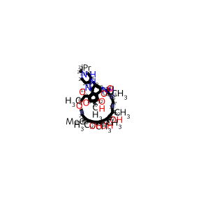 CO[C@H]1/C=C/OC2(C)Oc3c(C)c(O)c4c(c3C2=O)C2=NC3(CCN(CC(C)C)CC3)NC2=C(NC(=O)/C(C)=C\C=C\[C@H](C)[C@H](O)[C@@H](C)[C@@H](O)[C@@H](C)[C@H](O)[C@@H]1C)C4=O